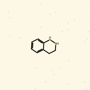 c1ccc2c(c1)CCNN2